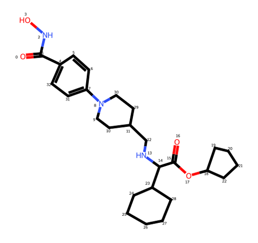 O=C(NO)c1ccc(N2CCC(CNC(C(=O)OC3CCCC3)C3CCCCC3)CC2)cc1